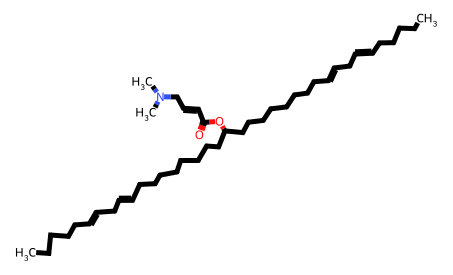 CCCCC/C=C/C/C=C/CCCCCCCCC(CCCCCCCC/C=C/C/C=C/CCCCC)OC(=O)/C=C/CN(C)C